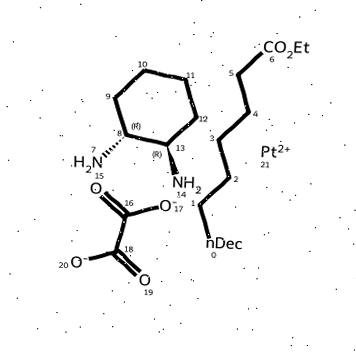 CCCCCCCCCCCCCCCC(=O)OCC.N[C@@H]1CCCC[C@H]1N.O=C([O-])C(=O)[O-].[Pt+2]